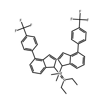 CC[Si](CC)=[Hf]([CH3])([CH3])([CH]1C=Cc2c(-c3ccc(C(F)(F)F)cc3)cccc21)[CH]1C=Cc2c(-c3ccc(C(F)(F)F)cc3)cccc21